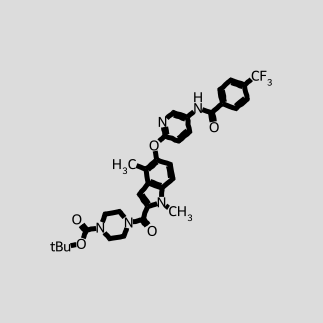 Cc1c(Oc2ccc(NC(=O)c3ccc(C(F)(F)F)cc3)cn2)ccc2c1cc(C(=O)N1CCN(C(=O)OC(C)(C)C)CC1)n2C